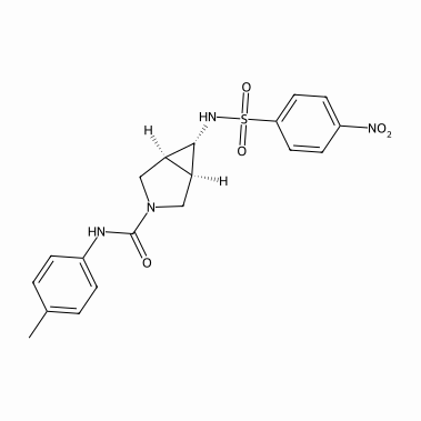 Cc1ccc(NC(=O)N2C[C@@H]3[C@H](C2)[C@H]3NS(=O)(=O)c2ccc([N+](=O)[O-])cc2)cc1